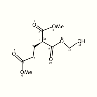 COC(=O)CC[C@@H](C(=O)OC)C(=O)OCO